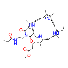 CCC(=O)NCCN1C(=O)c2c3nc(cc4[nH]c(cc5nc(cc6[nH]c2c(c6C)C1=O)C(C)=C5C)c(CC)c4C)C(C)C3CCC(=O)OC